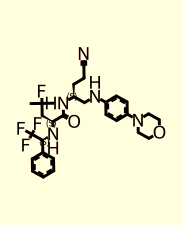 CC(C)(F)C[C@H](N[C@@H](c1ccccc1)C(F)(F)F)C(=O)N[C@@H](CCC#N)CNc1ccc(N2CCOCC2)cc1